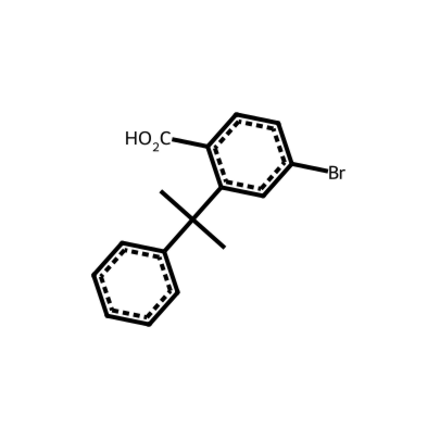 CC(C)(c1ccccc1)c1cc(Br)ccc1C(=O)O